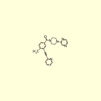 Cc1ccc(C(=O)N2CCN(c3cnccn3)CC2)cc1C#Cc1ccccn1